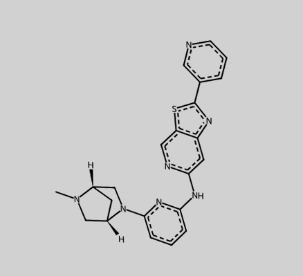 CN1C[C@@H]2C[C@H]1CN2c1cccc(Nc2cc3nc(-c4cccnc4)sc3cn2)n1